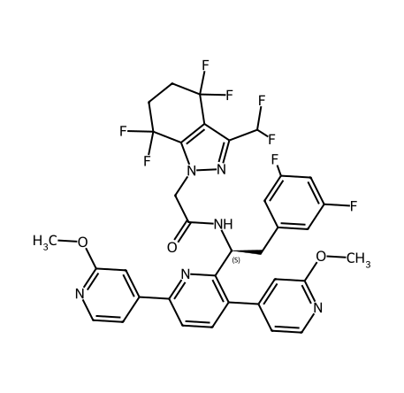 COc1cc(-c2ccc(-c3ccnc(OC)c3)c([C@H](Cc3cc(F)cc(F)c3)NC(=O)Cn3nc(C(F)F)c4c3C(F)(F)CCC4(F)F)n2)ccn1